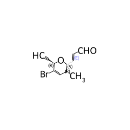 C#C[C@H]1O[C@H](/C=C/C=O)[C@H](C)C=C1Br